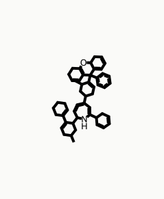 CC1CC=C(C2=CCCCC2)C(C2C=C=C(C3CC=C(C4(c5ccccc5)C5=CC=CCC5OC5=C4C=CCC5)C(C)C3)C=C(C3C=CC=CC3)N2)C1